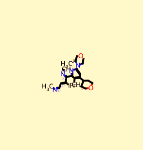 C\N=C/C=C(/C(=N/C)c1nc(N2CCOC[C@H]2C)cc(C2CCOCC2)c1C)C(C)C